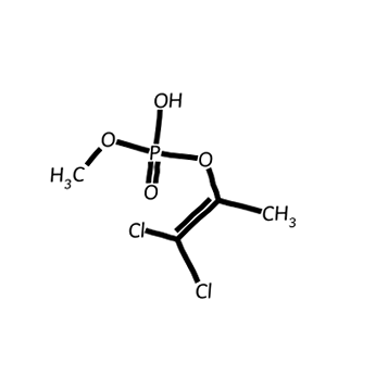 COP(=O)(O)OC(C)=C(Cl)Cl